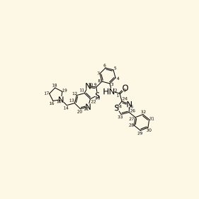 O=C(Nc1ccccc1-c1nc2cc(CN3CCCC3)cnc2s1)c1nc(-c2ccccc2)cs1